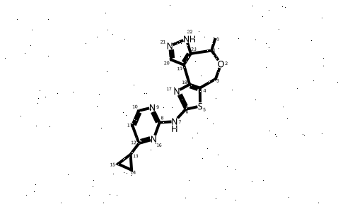 CC1OCc2sc(Nc3nccc(C4CC4)n3)nc2-c2cn[nH]c21